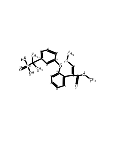 CO/C=C(/C(=O)OC)c1ccccc1Oc1cccc(C(C)(C)P(=O)(O)O)c1